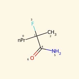 CCCC(C)(F)C(N)=O